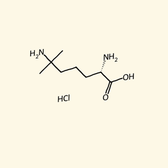 CC(C)(N)CCC[C@H](N)C(=O)O.Cl